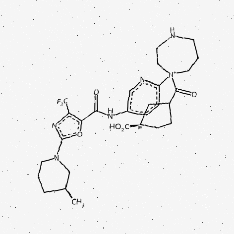 CC1CCCN(c2nc(C(F)(F)F)c(C(=O)Nc3ccc([N+]4(C(=O)C5CC[C@@H](C(=O)O)C5)CCCNCC4)nc3)o2)C1